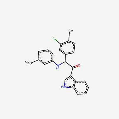 COc1cccc(NC(C(=O)c2c[nH]c3ccccc23)c2ccc(C#N)c(F)c2)c1